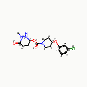 CN1NC(OC(=O)N2CCC(Oc3cccc(Cl)c3)CC2)CCC1=O